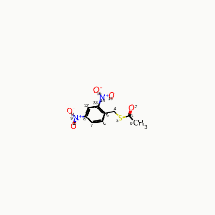 CC(=O)SCc1ccc([N+](=O)[O-])cc1[N+](=O)[O-]